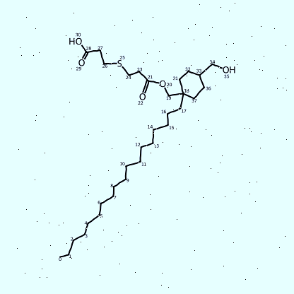 CCCCCCCCCCCCCCCCCCC1(COC(=O)CCSCCC(=O)O)CCC(CO)CC1